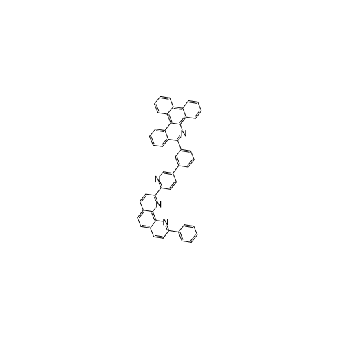 c1ccc(-c2ccc3ccc4ccc(-c5ccc(-c6cccc(-c7nc8c9ccccc9c9ccccc9c8c8ccccc78)c6)cn5)nc4c3n2)cc1